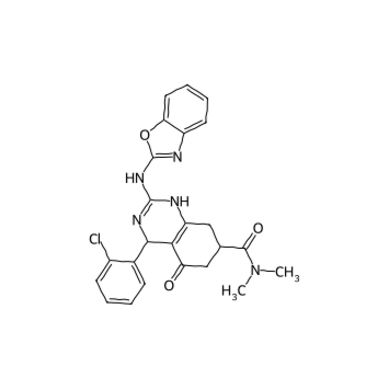 CN(C)C(=O)C1CC(=O)C2=C(C1)NC(Nc1nc3ccccc3o1)=NC2c1ccccc1Cl